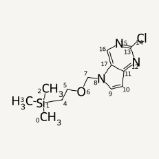 C[Si](C)(C)CCOCn1ccc2nc(Cl)ncc21